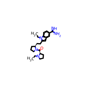 CCN1CCC[C@@H]1C(=O)N1CCC[C@H]1CCc1cc2cc(C(=N)N)ccc2n1CC